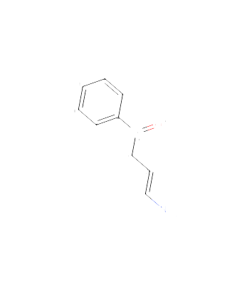 NC=CC[Se](=O)c1ccccc1